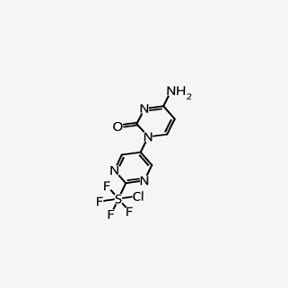 Nc1ccn(-c2cnc(S(F)(F)(F)(F)Cl)nc2)c(=O)n1